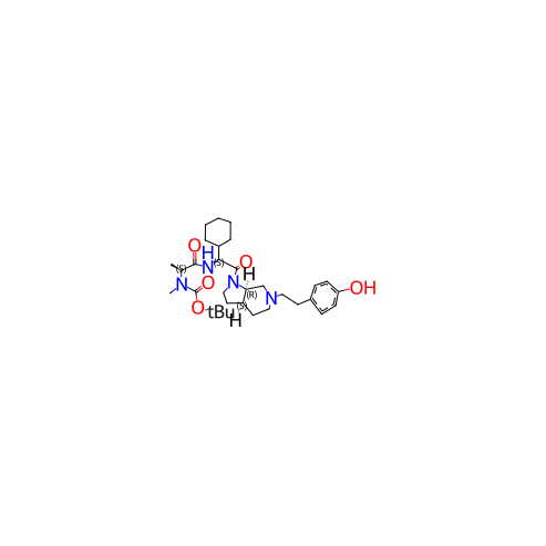 C[C@@H](C(=O)N[C@H](C(=O)N1CC[C@@H]2CCN(CCc3ccc(O)cc3)C[C@@H]21)C1CCCCC1)N(C)C(=O)OC(C)(C)C